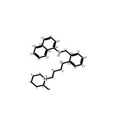 CC1CCCCN1CCC[CH]c1ccccc1CSc1cccc2ccccc12